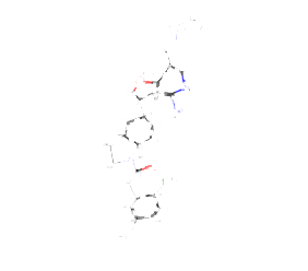 CN(C)CCc1cnc(N)c2c(-c3ccc4c(c3)CCN4C(=O)Cc3cc(F)ccc3F)coc12